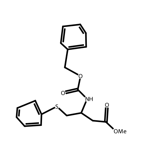 COC(=O)CC(CSc1ccccc1)NC(=O)OCc1ccccc1